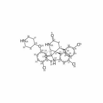 O=C1C[C@@H](c2cccc(Cl)c2)[C@]2(C(=O)Nc3cc(Cl)ccc32)[C@H](c2c(OC3CCNCC3)ccc(Cl)c2F)N1